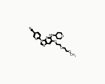 COCCOCCOc1cc2ncn(-c3ccc(C#N)cn3)c2nc1NC1CCOCC1